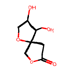 O=C1CC2(CO1)OCC(O)C2O